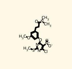 COc1cc(CCC(=O)N(C)C)cc(Oc2nc(SC)nc(Cl)c2[N+](=O)[O-])c1